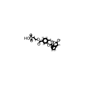 O=C(OCCS(=O)(=O)O)c1ccc(I)c(OC(=O)C2C3CC4OC(=O)C2C4C3)c1